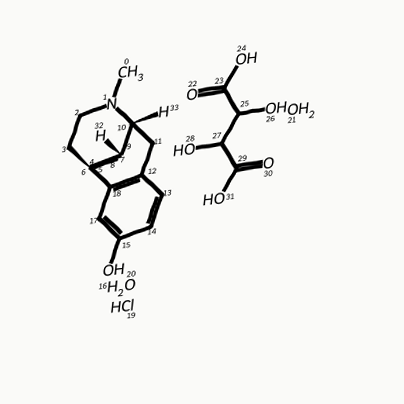 CN1CC[C@]23CCCC[C@H]2[C@H]1Cc1ccc(O)cc13.Cl.O.O.O=C(O)C(O)C(O)C(=O)O